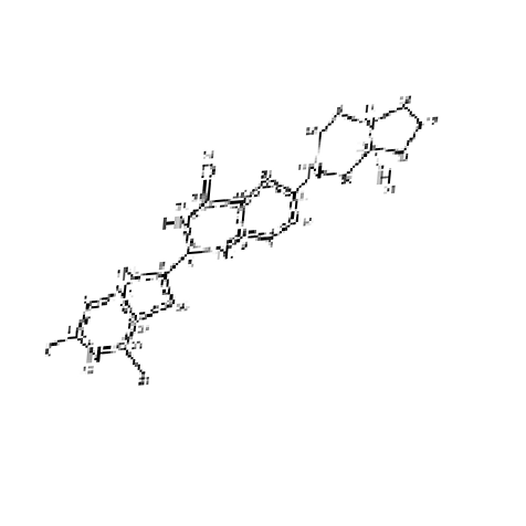 Cc1cn2nc(-c3nc4ccc(N5CCN6CCC[C@H]6C5)cc4c(=O)[nH]3)cc2c(C)n1